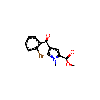 COC(=O)c1cc(C(=O)c2ccccc2Br)cn1C